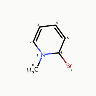 CN1C=CC=CC1Br